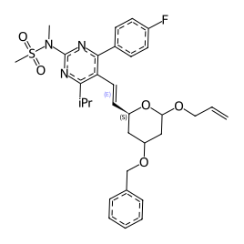 C=CCOC1CC(OCc2ccccc2)C[C@@H](/C=C/c2c(-c3ccc(F)cc3)nc(N(C)S(C)(=O)=O)nc2C(C)C)O1